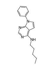 CCCCCNc1ncnc2c1ccn2-c1ccccc1